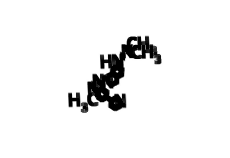 CCN(CC)CCNc1ccc2c(c1)CN(c1ncnc3c(C)cc(-c4cccnc4)cc13)CC2